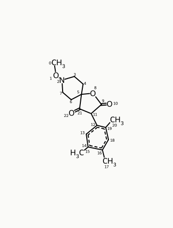 CON1CCC2(CC1)OC(=O)C(c1cc(C)c(C)cc1C)C2=O